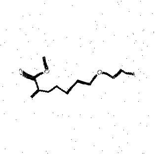 C=C(CCCCCOCCI)C(=O)OC